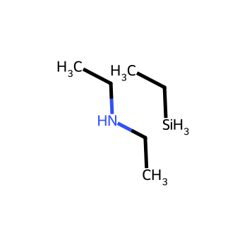 CCNCC.CC[SiH3]